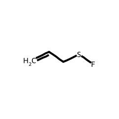 C=CCSF